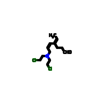 C/C=C(\C=C/CN(CCCl)CCCl)CCC=O